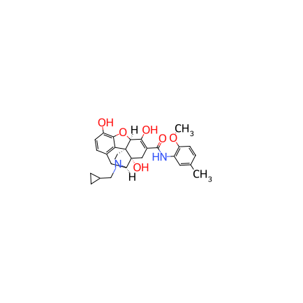 COc1ccc(C)cc1NC(=O)C1=C(O)[C@@H]2Oc3c(O)ccc4c3[C@@]23CCN(CC2CC2)[C@H](C4)[C@]3(O)C1